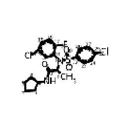 CC(C(=O)NC1CCCC1)N(c1cc(Cl)ccc1F)S(=O)(=O)c1ccc(Cl)cc1